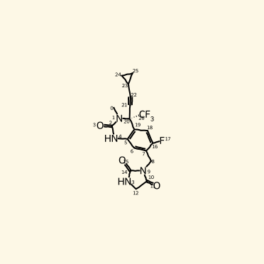 CN1C(=O)Nc2cc(CN3C(=O)CNC3=O)c(F)cc2[C@@]1(C#CC1CC1)C(F)(F)F